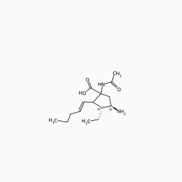 CCCC=CC1[C@@H](CC)[C@H](N)CC1(NC(C)=O)C(=O)O